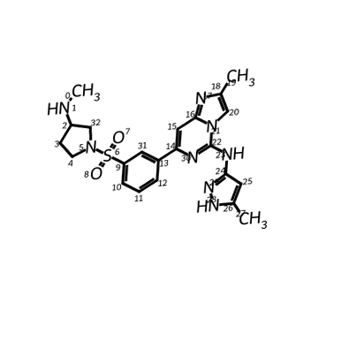 CNC1CCN(S(=O)(=O)c2cccc(-c3cc4nc(C)cn4c(Nc4cc(C)[nH]n4)n3)c2)C1